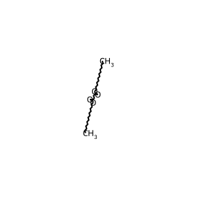 CCCCCCCCCCCCCCOC(=O)CCC(=O)OCCCCCCCCCCCCCC